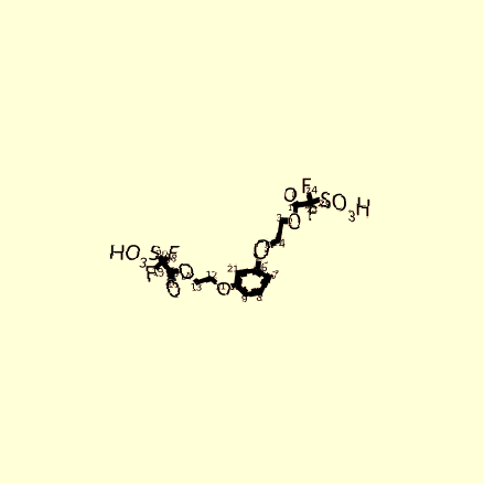 O=C(OCCOc1cccc(OCCOC(=O)C(F)(F)S(=O)(=O)O)c1)C(F)(F)S(=O)(=O)O